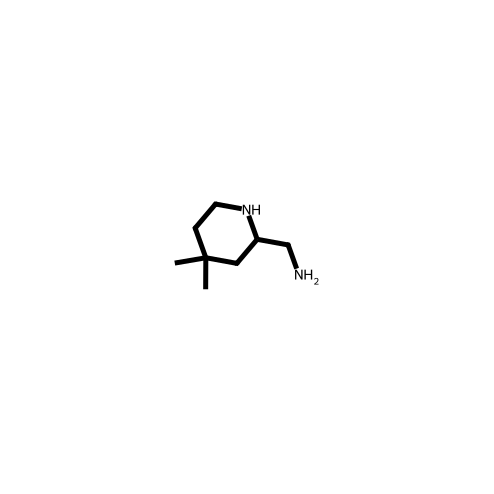 CC1(C)CCNC(CN)C1